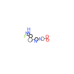 COC(OC)C1CCN(c2ccc(C3=CCCCc4c3ccc3[nH]nc(F)c43)nc2)CC1